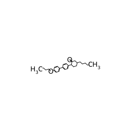 CCCCCC1CCC(c2ccc(-c3ccc(OCCCC)cc3)cc2)C(=O)C1